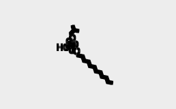 CCCCCCCCCCCCOOP(=O)(O)OOCC(C)C